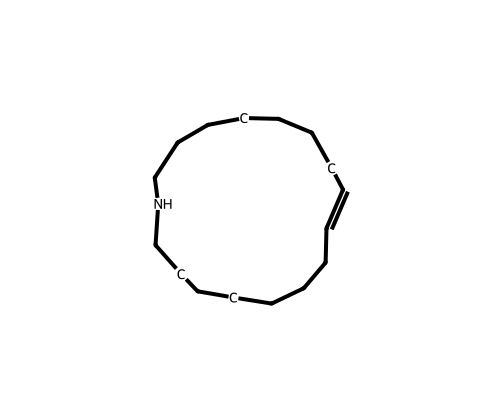 C1=C/CCCCCCCNCCCCCCC/1